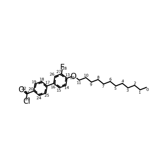 CCCCCCCCCCCCOc1ccc(-c2ccc(C(=O)Cl)cc2)cc1F